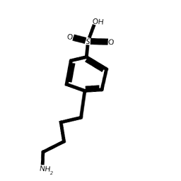 NCCCCc1ccc(S(=O)(=O)O)cc1